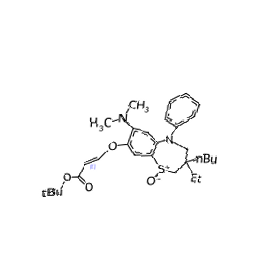 CCCCC1(CC)CN(c2ccccc2)c2cc(N(C)C)c(O/C=C/C(=O)OC(C)(C)C)cc2[S+]([O-])C1